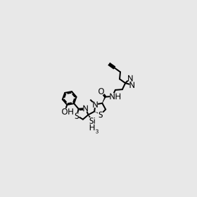 C#CCCC1(CCNC(=O)[C@H]2CS[C@H]([C@]3([SiH3])CSC(c4ccccc4O)=N3)N2C)N=N1